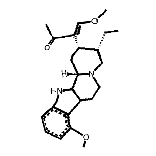 CC[C@@H]1CN2CCC3c4c(cccc4OC)NC3[C@@H]2C[C@@H]1/C(=C\OC)C(C)=O